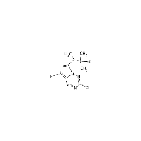 CC(c1cc(F)c2cnc(Cl)nn12)C(C)(C)F